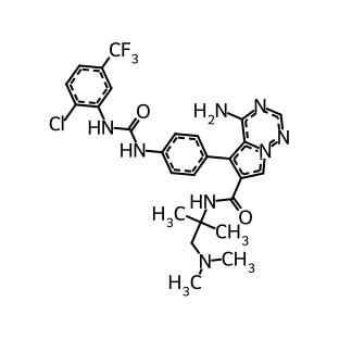 CN(C)CC(C)(C)NC(=O)c1cn2ncnc(N)c2c1-c1ccc(NC(=O)Nc2cc(C(F)(F)F)ccc2Cl)cc1